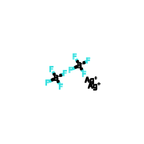 F[B-](F)(F)F.F[B-](F)(F)F.[Ag+].[Ag+]